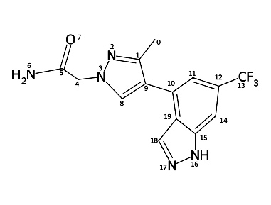 Cc1nn(CC(N)=O)cc1-c1cc(C(F)(F)F)cc2[nH]ncc12